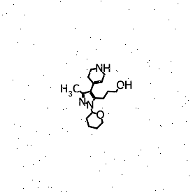 Cc1nn(C2CCCCO2)c(CCCO)c1C1=CCNCC1